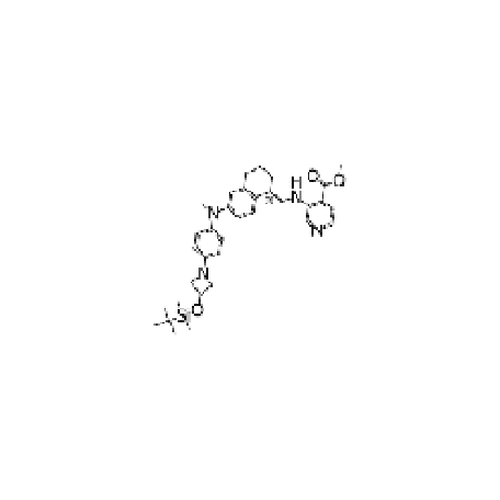 COC(=O)c1ccncc1NC[C@@H]1CCCc2cc(N(C)c3ccc(N4CC(O[Si](C)(C)C(C)(C)C)C4)cc3)ccc21